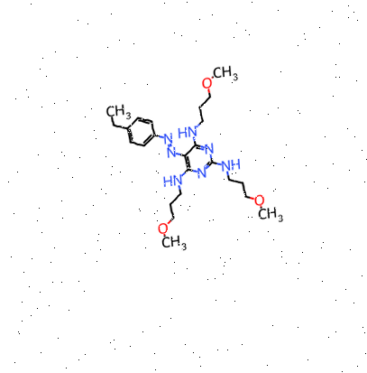 CCc1ccc(N=Nc2c(NCCCOC)nc(NCCCOC)nc2NCCCOC)cc1